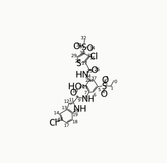 CCS(=O)(=O)c1cc(NC(=O)c2cc3cc(Cl)ccc3[nH]2)c(O)c(NC(=O)c2scc(S(C)(=O)=O)c2Cl)c1